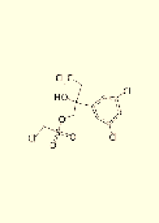 O=S(=O)(CCl)OCC(O)(CC(Cl)(Cl)Cl)c1cc(Cl)cc(Cl)c1